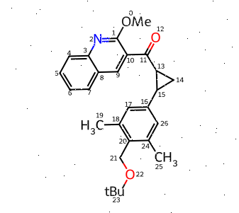 COc1nc2ccccc2cc1C(=O)C1CC1c1cc(C)c(COC(C)(C)C)c(C)c1